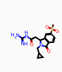 CS(=O)(=O)c1ccc2c(c1)C(CC(=O)NC(=N)N)N(CC1CC1)C2=O